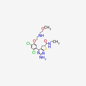 CCNC(=O)C1Cc2c(nc(N)nc2-c2cc(OCCNCCOC)c(Cl)cc2Cl)S1